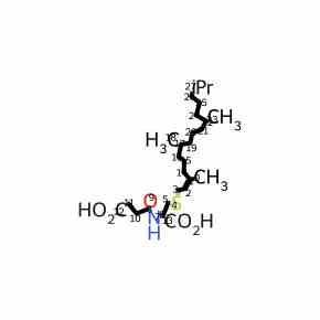 CC(=CCSCC(NC(=O)CCC(=O)O)C(=O)O)CCCC(C)CCCC(C)CCCC(C)C